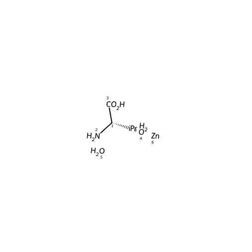 CC(C)[C@H](N)C(=O)O.O.O.[Zn]